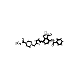 CC(C)(C)OC(=O)N1CCN(Cc2ccc(-c3ccc(NC(=O)c4ccccc4)c4c3CNC4=O)s2)CC1